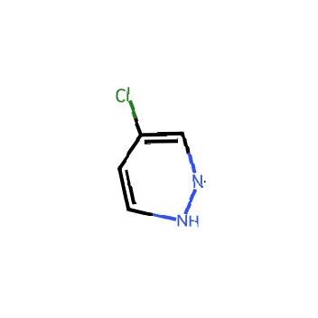 ClC1=C[N]NC=C1